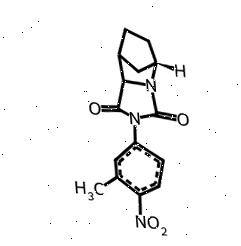 Cc1cc(N2C(=O)C3C4CC[C@@H](C4)N3C2=O)ccc1[N+](=O)[O-]